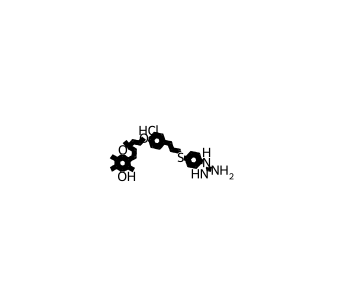 Cc1c(C)c2c(c(C)c1O)CCC(C)(CCOc1ccc(CCCSc3ccc(NC(=N)N)cc3)cc1)O2.Cl